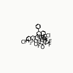 CC(C)[C@H](C(=O)C(F)(F)C(=O)NCC(F)(F)F)C(N)[C@@H](Cc1ccc(Cl)cc1)C(N)CC(c1ccccc1)c1ccc(Cl)c(Cl)c1